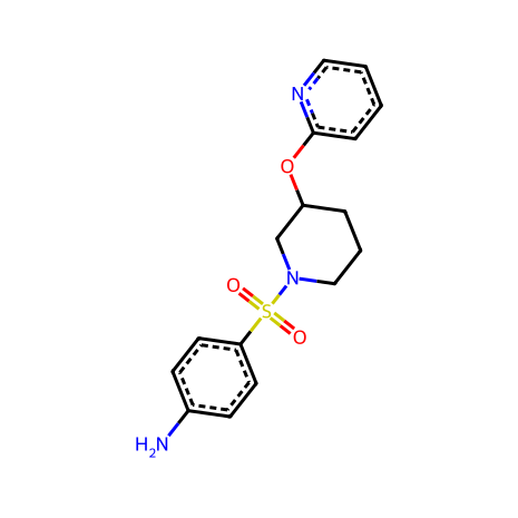 Nc1ccc(S(=O)(=O)N2CCCC(Oc3ccccn3)C2)cc1